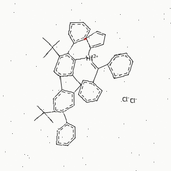 CC(C)(C)c1cc2c(cc1-c1ccccc1)Cc1c-2cc(C(C)(C)C)c(-c2ccccc2)[c]1[Hf+2]([C]1=CC=CC1)=[C](c1ccccc1)c1ccccc1.[Cl-].[Cl-]